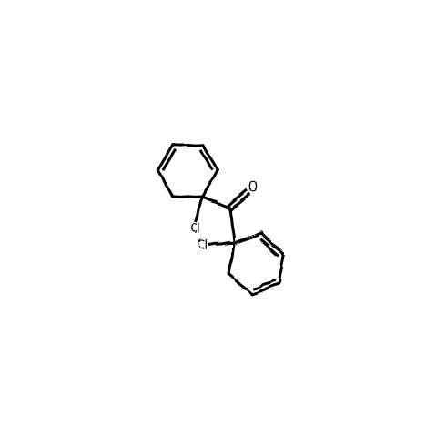 O=C(C1(Cl)C=CC=CC1)C1(Cl)C=CC=CC1